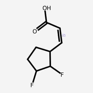 O=C(O)/C=C\C1CCC(F)C1F